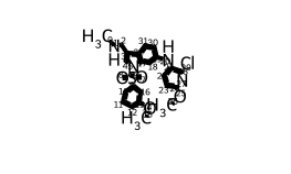 CNCc1cn(S(=O)(=O)c2cccc(OC)c2)c2cc(Nc3ccc(OC)nc3Cl)ccc12